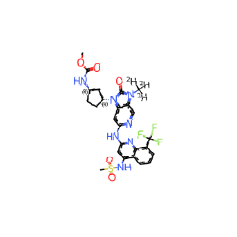 [2H]C([2H])([2H])n1c(=O)n([C@@H]2CC[C@@H](NC(=O)OC)C2)c2cc(Nc3cc(NS(C)(=O)=O)c4cccc(C(F)(F)F)c4n3)ncc21